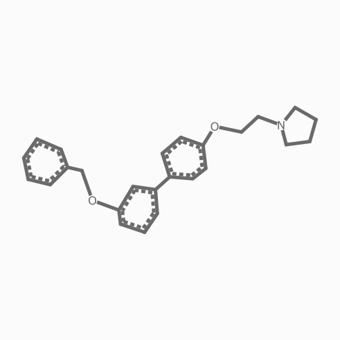 c1ccc(COc2cccc(-c3ccc(OCCN4CCCC4)cc3)c2)cc1